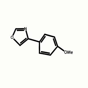 COc1ccc(-c2cocn2)cc1